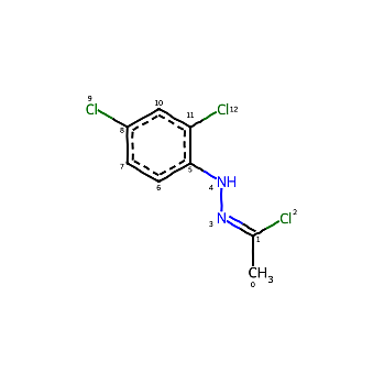 CC(Cl)=NNc1ccc(Cl)cc1Cl